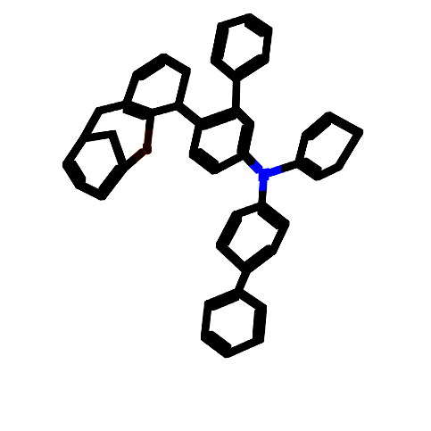 C1=CC2CC(=C1)SC1=C(C=CCC1c1ccc(N(C3=CCCC=C3)c3ccc(-c4ccccc4)cc3)cc1-c1ccccc1)C2